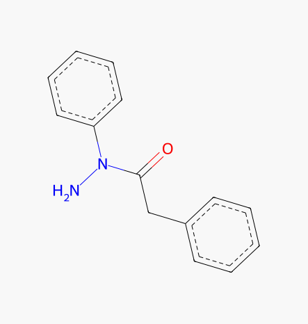 NN(C(=O)Cc1ccccc1)c1ccccc1